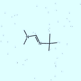 CN(C)C=NC(C)(C)C